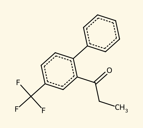 CCC(=O)c1cc(C(F)(F)F)ccc1-c1ccccc1